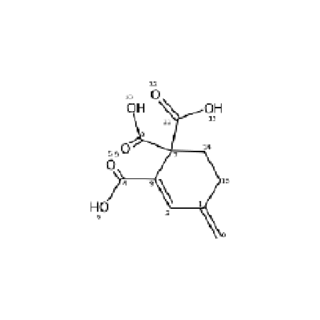 C=C1C=C(C(=O)O)C(C(=O)O)(C(=O)O)CC1